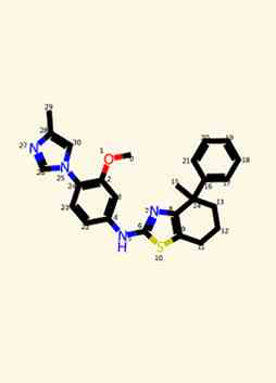 COc1cc(Nc2nc3c(s2)CCCC3(C)c2ccccc2)ccc1-n1cnc(C)c1